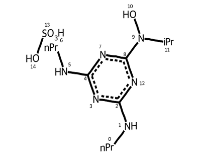 CCCNc1nc(NCCC)nc(N(O)C(C)C)n1.O=S(=O)(O)O